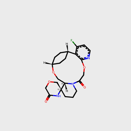 O=C1COC[C@@]2(CCCN3C(=O)COc4nccc(F)c4[C@H]4CC[C@H](CC4)OC[C@H]32)N1